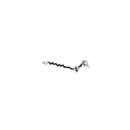 CCCCCCCCCCCCCCCCOS(=O)(=O)OCCCN(C)C